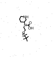 CC(C)(C)[Si](C)(C)OCCN(C(=O)O)C1CCCNC1